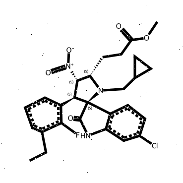 CCc1cccc([C@H]2[C@H]([N+](=O)[O-])[C@H](CCC(=O)OC)N(CC3CC3)[C@@]23C(=O)Nc2cc(Cl)ccc23)c1F